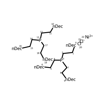 CCCCCCCCCCCCP(CCCCCCCCCCCC)CCCCCCCCCCCC.CCCCCCCCCCCCP(CCCCCCCCCCCC)CCCCCCCCCCCC.[Cl-].[Cl-].[Ni+2]